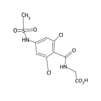 CS(=O)(=O)Nc1cc(Cl)c(C(=O)NCC(=O)O)c(Cl)c1